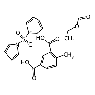 CCOC=O.Cc1ccc(C(=O)O)cc1C(=O)O.O=S(=O)(c1ccccc1)n1cccc1